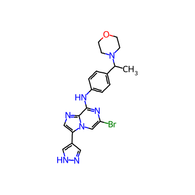 CC(c1ccc(Nc2nc(Br)cn3c(-c4cn[nH]c4)cnc23)cc1)N1CCOCC1